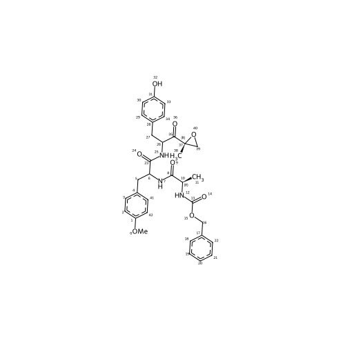 COc1ccc(CC(NC(=O)[C@@H](C)NC(=O)OCc2ccccc2)C(=O)NC(Cc2ccc(O)cc2)C(=O)[C@@]2(C)CO2)cc1